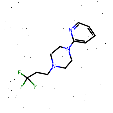 FC(F)(F)CCN1CCN(c2ccccn2)CC1